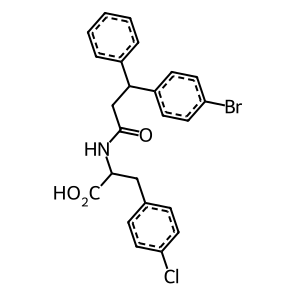 O=C(CC(c1ccccc1)c1ccc(Br)cc1)NC(Cc1ccc(Cl)cc1)C(=O)O